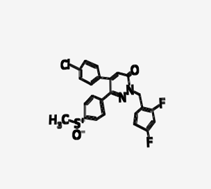 C[S+]([O-])c1ccc(-c2nn(Cc3ccc(F)cc3F)c(=O)cc2-c2ccc(Cl)cc2)cc1